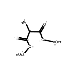 CCCCCCCCOC(=O)C(CCC)C(=O)OCCCCCCCC